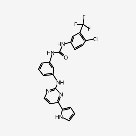 O=C(Nc1cccc(Nc2nccc(-c3ccc[nH]3)n2)c1)Nc1ccc(Cl)c(C(F)(F)F)c1